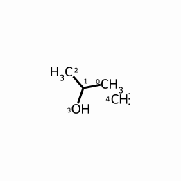 CC(C)O.[CH]